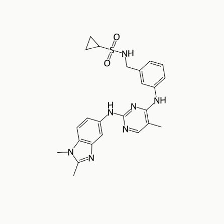 Cc1cnc(Nc2ccc3c(c2)nc(C)n3C)nc1Nc1cccc(CNS(=O)(=O)C2CC2)c1